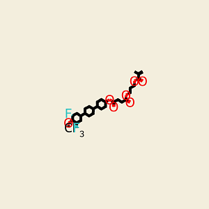 C=C(C)C(=O)OCCCOC(=O)CCC(=O)OC1CCC(C2CCC(C3CC(F)C(OC(F)(F)F)C(F)C3)CC2)CC1